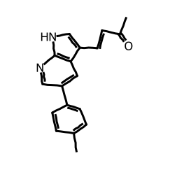 CC(=O)/C=C/c1c[nH]c2ncc(-c3ccc(C)cc3)cc12